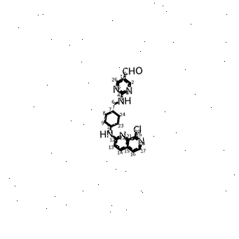 O=Cc1cnc(NC[C@H]2CC[C@H](Nc3ccc4ccnc(Cl)c4n3)CC2)nc1